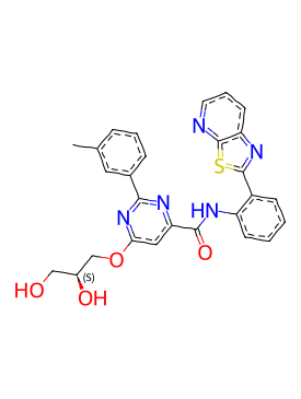 Cc1cccc(-c2nc(OC[C@@H](O)CO)cc(C(=O)Nc3ccccc3-c3nc4cccnc4s3)n2)c1